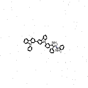 N/C(=N\C(c1ccccc1)[C@H](N)c1cccc(-n2c3ccccc3c3cc(-c4ccc5c6ccccc6n(-c6ccccc6)c5c4)ccc32)c1)c1ccccc1